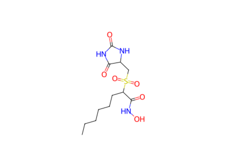 CCCCCCC(C(=O)NO)S(=O)(=O)CC1NC(=O)NC1=O